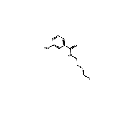 CC(C)(C)c1cccc(C(=O)NCCOCI)c1